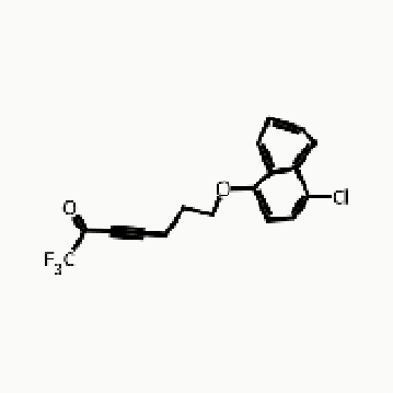 O=C(C#CCCCOc1ccc(Cl)c2ccccc12)C(F)(F)F